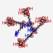 [N-]=[N+]=NCCCCCC(=O)NC(CCC(=O)NC(CCC(=O)NC(CCC(=O)NCCCCCCO[C@H]1O[C@H](CO)[C@@H](O)C(O)C1O)C(=O)NCCCCCCO[C@H]1O[C@H](CO)[C@@H](O)C(O)C1O)C(=O)NCCCCCCO[C@H]1O[C@H](CO)[C@@H](O)C(O)C1O)C(=O)NCCCCCCO[C@H]1O[C@H](CO)[C@@H](O)C(O)C1O